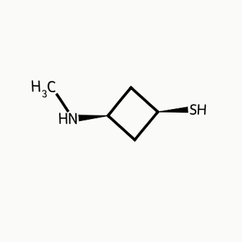 CN[C@H]1C[C@@H](S)C1